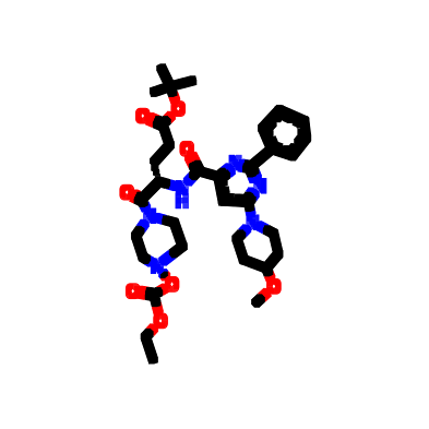 CCOC(=O)ON1CCN(C(=O)[C@H](CCC(=O)OC(C)(C)C)NC(=O)c2cc(N3CCC(OC)CC3)nc(-c3ccccc3)n2)CC1